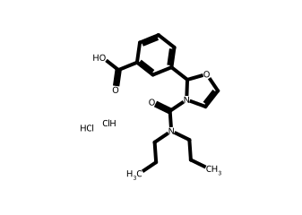 CCCN(CCC)C(=O)N1C=COC1c1cccc(C(=O)O)c1.Cl.Cl